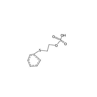 O=S(=O)(O)OCCSc1ccccc1